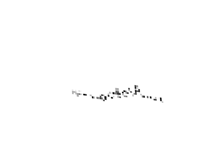 CCCCCCCCc1ccc(-c2ccc(C(=O)Oc3ccc(C(=O)OC(CCCCCCCC)C(F)(F)F)cc3)cc2)cc1